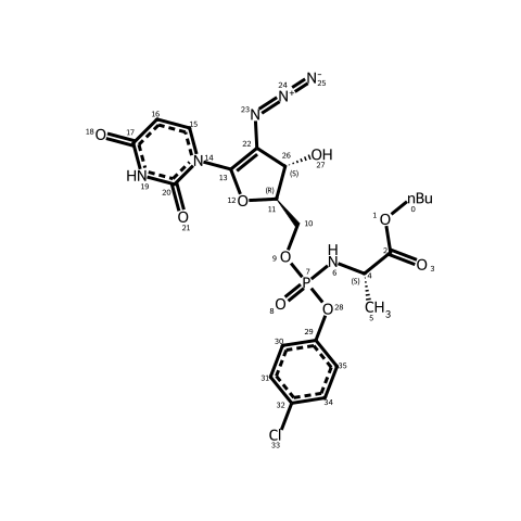 CCCCOC(=O)[C@H](C)NP(=O)(OC[C@H]1OC(n2ccc(=O)[nH]c2=O)=C(N=[N+]=[N-])[C@@H]1O)Oc1ccc(Cl)cc1